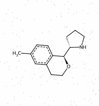 Cc1ccc2c(c1)CCO[C@@H]2[C@@H]1CCCN1